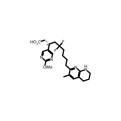 COc1ncc([C@H](CC(=O)O)CC(F)(F)CCCCc2nc3c(cc2C)CCCN3)cn1